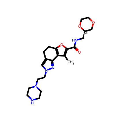 Cc1c(C(=O)NC[C@@H]2COCCO2)oc2c1-c1nn(CCN3CCNCC3)cc1CC2